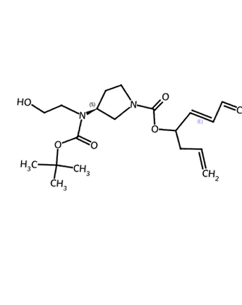 C=C/C=C/C(CC=C)OC(=O)N1CC[C@H](N(CCO)C(=O)OC(C)(C)C)C1